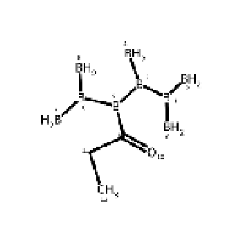 BB(B)B(B)B(B(B)B)C(=O)CC